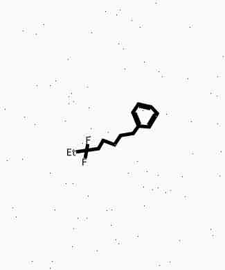 [CH2]CC(F)(F)CCCCCc1ccccc1